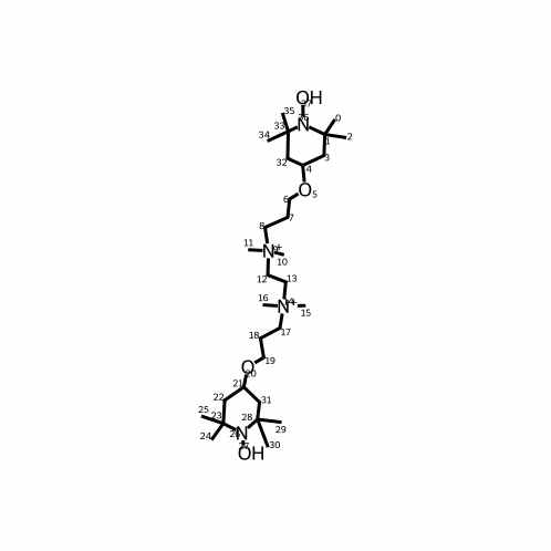 CC1(C)CC(OCCC[N+](C)(C)CC[N+](C)(C)CCCOC2CC(C)(C)N(O)C(C)(C)C2)CC(C)(C)N1O